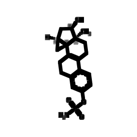 C[C@]12CCC3=C(CCc4cc(OS(N)(=O)=O)ccc43)[C@@]13C[C@H]3C[C@H]2O